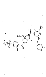 COC12CN(C(=O)c3cc(OCC4CCOCC4)nc(C4CC4)c3)CC1CN(C(=O)c1ccc(S(N)(=O)=O)cc1F)C2